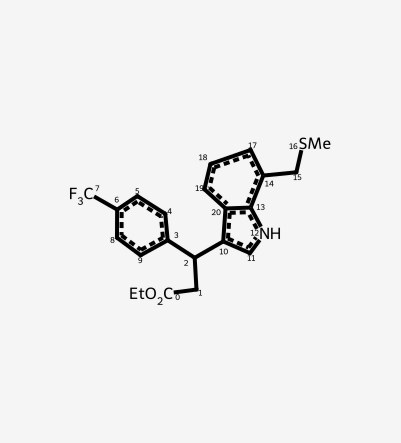 CCOC(=O)CC(c1ccc(C(F)(F)F)cc1)c1c[nH]c2c(CSC)cccc12